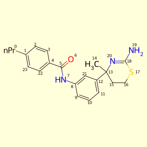 CCCc1ccc(C(=O)Nc2cccc(C3(C)CCSC(N)=N3)c2)cc1